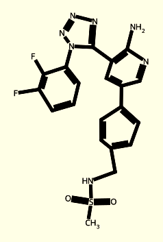 CS(=O)(=O)NCc1ccc(-c2cnc(N)c(-c3nnnn3-c3cccc(F)c3F)c2)cc1